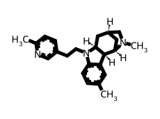 Cc1ccc2c(c1)[C@@H]1[C@H]3C[C@@H](C[C@@H]1N2CCc1ccc(C)nc1)CN3C